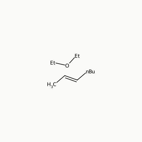 CC=CCCCC.CCOCC